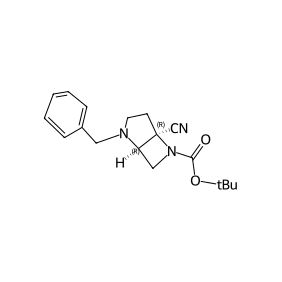 CC(C)(C)OC(=O)N1C[C@H]2N(Cc3ccccc3)CC[C@]21C#N